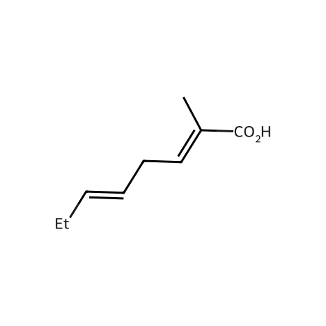 CCC=CCC=C(C)C(=O)O